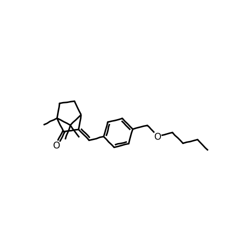 CCCCOCc1ccc(C=C2C(=O)C3(C)CCC2C3(C)C)cc1